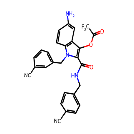 N#Cc1ccc(CNC(=O)c2c(OC(=O)C(F)(F)F)c3cc(N)ccc3n2Cc2cccc(C#N)c2)cc1